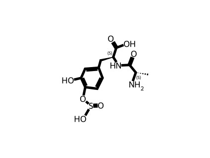 C[C@H](N)C(=O)N[C@@H](Cc1ccc(OS(=O)O)c(O)c1)C(=O)O